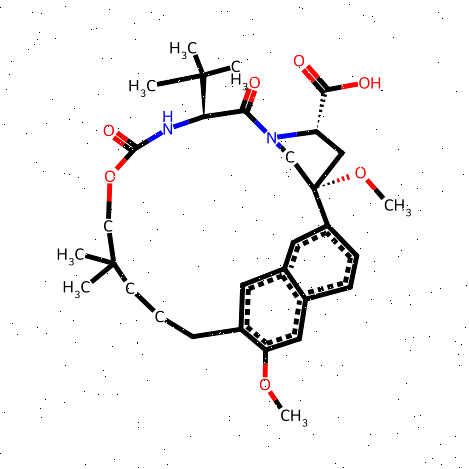 COc1cc2ccc3cc2cc1CCCC(C)(C)COC(=O)N[C@@H](C(C)(C)C)C(=O)N1C[C@@]3(OC)C[C@H]1C(=O)O